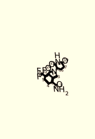 NC(=O)c1ccc(C(F)(F)F)c2c1CN(C1CCC(=O)NC1=O)C2=O